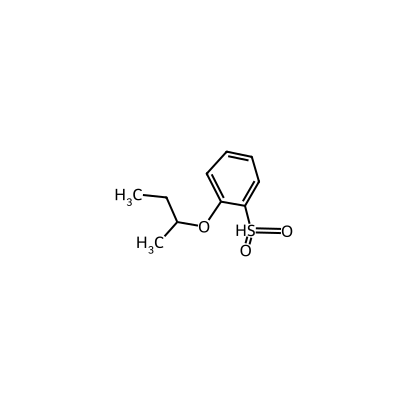 CCC(C)Oc1ccccc1[SH](=O)=O